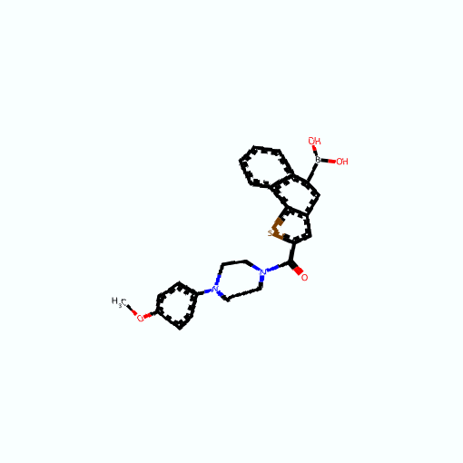 COc1ccc(N2CCN(C(=O)c3cc4cc(B(O)O)c5ccccc5c4s3)CC2)cc1